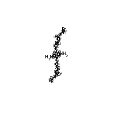 COc1cc(C(=O)Oc2ccc(C=CC(=O)c3cc(N)ccc3-c3ccc(N)c(C)c3C(=O)C=Cc3ccc(OC(=O)c4ccc(OCCCCC(F)(F)F)c(OC)c4)cc3)cc2)ccc1OCCCCC(F)(F)F